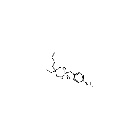 CCCCC1(CC)COP(=O)(Cc2ccc(N)cc2)OC1